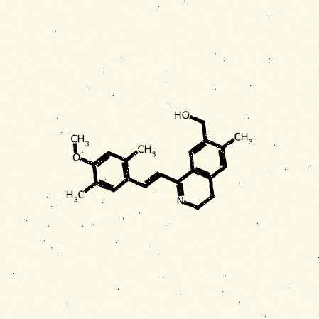 COc1cc(C)c(/C=C/C2=NCCc3cc(C)c(CO)cc32)cc1C